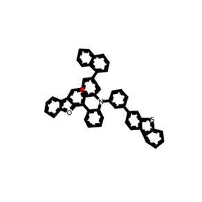 c1cc(-c2ccc3c(c2)sc2ccccc23)cc(N(c2cccc(-c3cccc4ccccc34)c2)c2ccccc2-c2cccc3c2oc2ccccc23)c1